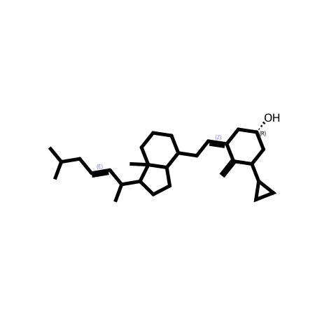 C=C1/C(=C\CC2CCCC3(C)C(C(C)/C=C/CC(C)C)CCC23)C[C@H](O)CC1C1CC1